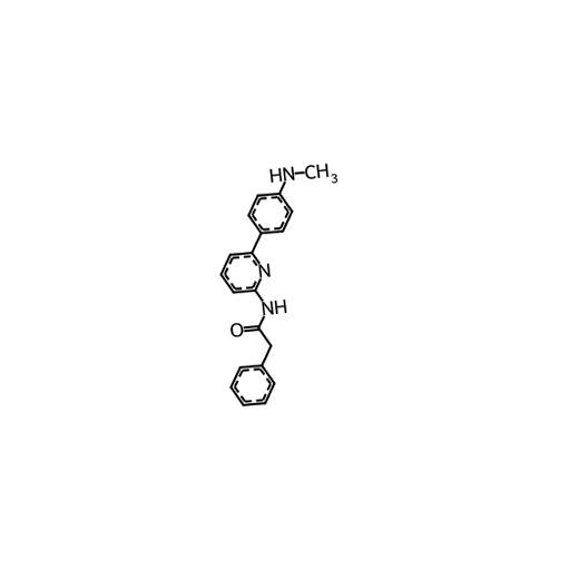 CNc1ccc(-c2cccc(NC(=O)Cc3ccccc3)n2)cc1